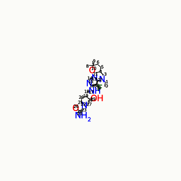 CCN(C[C@@H]1CCC(C)(C)OC1)c1ncnc(NC[C@H]2CCN(CC(N)=O)C[C@@H]2O)c1F